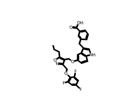 CCCc1onc(COc2c(F)cc(F)cc2F)c1COc1ccc2[nH]cc(Cc3cccc(C(=O)O)c3)c2c1